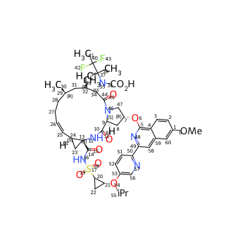 COc1ccc2c(O[C@@H]3C[C@H]4C(=O)N[C@]5(C(=O)NS(=O)(=O)C6CC6)C[C@H]5C=CCC[C@@H](C)C[C@@H](C)[C@H](N(C(=O)O)C(C)(C)C(C)(F)F)C(=O)N4C3)nc(-c3ccc(OC(C)C)cn3)cc2c1